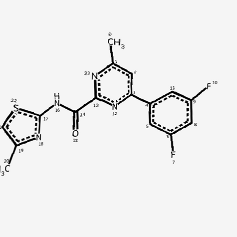 Cc1cc(-c2cc(F)cc(F)c2)nc(C(=O)Nc2nc(C)cs2)n1